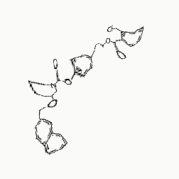 O=C(OCCc1ccc(OC(=O)N2CCCC(OCc3ccc4ccccc4c3)C2)cc1)c1ccccc1Cl